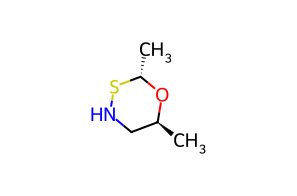 C[C@@H]1O[C@@H](C)CNS1